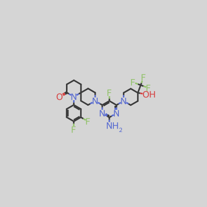 Nc1nc(N2CCC3(CCCC(=O)N3c3ccc(F)c(F)c3)CC2)c(F)c(N2CCC(O)(C(F)(F)F)CC2)n1